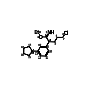 CCOC(=N)C(CCCCl)c1cccc(N2CCCC2)c1